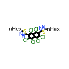 CCCCCCc1nnc(-c2c(Cl)c(Cl)c3c(Cl)c(Cl)c(-c4nnc(CCCCCC)s4)c(Cl)c3c2Cl)s1